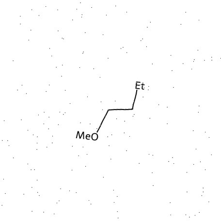 CCCCO[1CH3]